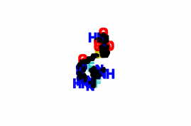 Cc1nc2c(C(C)(C)F)cc(-c3nc(Nc4ccc(CN5CCN(C(=O)CCCCCSc6cccc7c6C(=O)N(C6CCC(=O)NC6=O)C7=O)CC5)cn4)ncc3F)cc2[nH]1